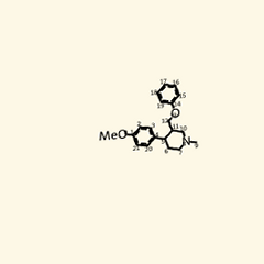 COc1ccc(C2CCN(C)CC2COc2ccccc2)cc1